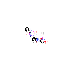 CC(C)(C)OC(=O)N[C@H](C(=O)NCc1ccc2c(c1)CN(C1CCC(=O)NC1=O)C2=O)c1ccccc1